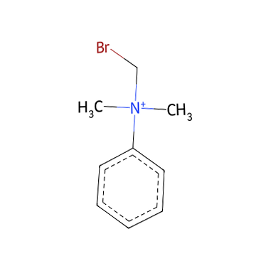 C[N+](C)(CBr)c1ccccc1